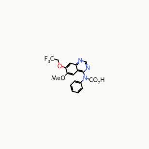 COc1cc2c(N(C(=O)O)c3ccccc3)ncnc2cc1OCC(F)(F)F